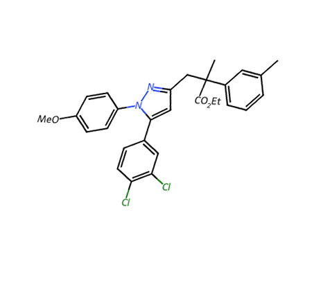 CCOC(=O)C(C)(Cc1cc(-c2ccc(Cl)c(Cl)c2)n(-c2ccc(OC)cc2)n1)c1cccc(C)c1